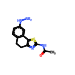 CC(=O)Nc1nc2c(s1)-c1cc(NN)ccc1CC2